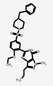 CCCc1nn(C)c2c(=O)[nH]c(-c3cc(S(=O)(=O)N4CCC(Cc5ccccc5)CC4)ccc3OCC)nc12